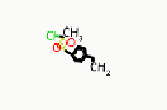 C=Cc1ccc(CS(=O)(=O)C(C)Cl)cc1